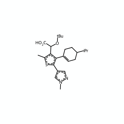 Cc1sc(-c2cnn(C)c2)c(C2=CCC(C(C)C)CC2)c1C(OC(C)(C)C)C(=O)O